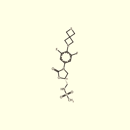 CS(=O)(=O)NC[C@H]1CN(c2cc(F)c(N3CC4(CSC4)C3)c(F)c2)C(=O)O1